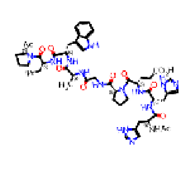 CC(=O)N[C@@H](Cc1cnc[nH]1)C(=O)N[C@@H](Cc1cnc[nH]1)C(=O)N[C@@H](CCC(=O)O)C(=O)N1CCC[C@H]1C(=O)NCC(=O)N[C@@H](C)C(=O)N[C@@H](Cc1c[nH]c2ccccc12)C(=O)N[C@@H](CC(C)C)C(=O)N1CCC[C@H]1C(C)=O